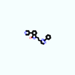 O=C1N=C(CCc2ccnc(-c3ccccc3)n2)c2cccc(-c3ccncc3)c21